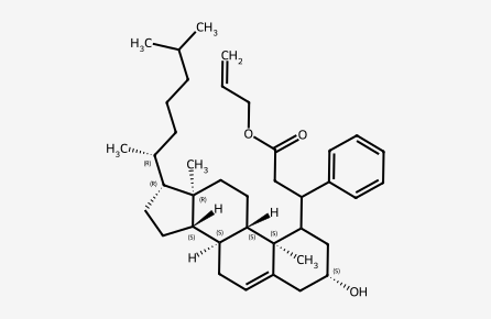 C=CCOC(=O)CC(c1ccccc1)C1C[C@H](O)CC2=CC[C@H]3[C@@H]4CC[C@H]([C@H](C)CCCC(C)C)[C@@]4(C)CC[C@@H]3[C@]21C